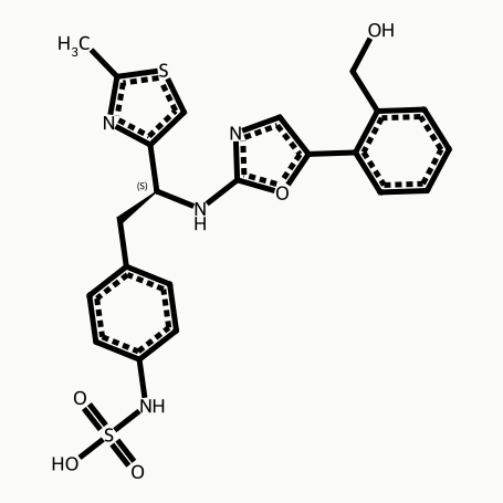 Cc1nc([C@H](Cc2ccc(NS(=O)(=O)O)cc2)Nc2ncc(-c3ccccc3CO)o2)cs1